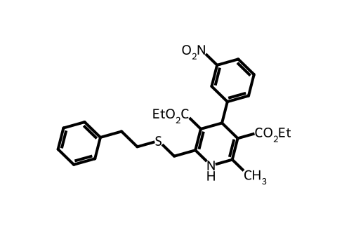 CCOC(=O)C1=C(C)NC(CSCCc2ccccc2)=C(C(=O)OCC)C1c1cccc([N+](=O)[O-])c1